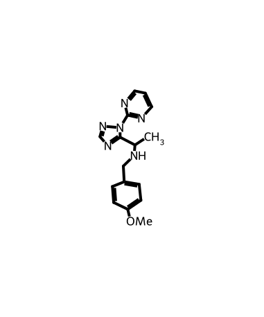 COc1ccc(CNC(C)c2ncnn2-c2ncccn2)cc1